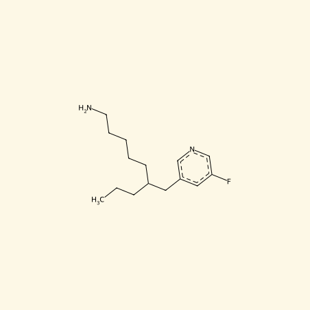 CCCC(CCCCCN)Cc1cncc(F)c1